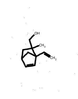 C=CC12C=CC(C1)CC2(C)CO